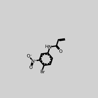 C=CC(=O)Nc1ccc(Br)c([N+](=O)[O-])c1